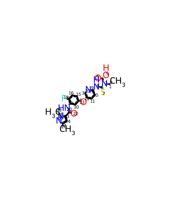 CCN(C(=O)O)C(=S)Nc1ccc(Oc2ccc(F)c(NC(=O)c3cc(C)nn3C)c2)cn1